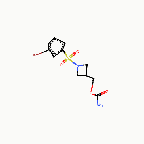 NC(=O)OCC1CN(S(=O)(=O)c2cccc(Br)c2)C1